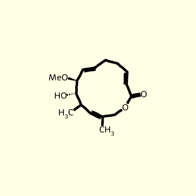 CO[C@H]1/C=C/CC/C=C/C(=O)OC/C(C)=C\C(C)[C@@H]1O